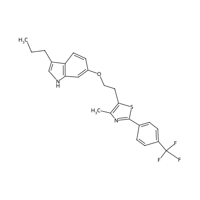 CCCc1c[nH]c2cc(OCCc3sc(-c4ccc(C(F)(F)F)cc4)nc3C)ccc12